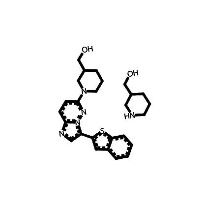 OCC1CCCN(c2ccc3ncc(-c4cc5ccccc5s4)n3n2)C1.OCC1CCCNC1